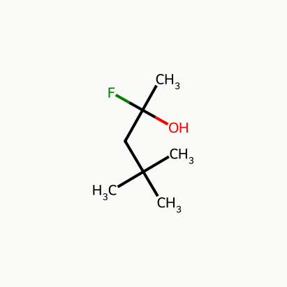 CC(C)(C)CC(C)(O)F